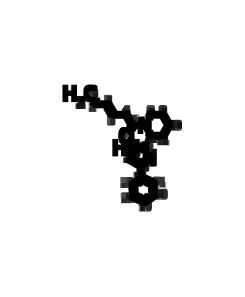 C=CC=CCC(=O)N1CCCC[C@@H]1c1nc(-c2ccccc2)c[nH]1